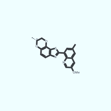 [CH2][C@@H]1COc2c(ccc3nc(-c4cc(C)cc5cc(OC)cnc45)sc23)O1